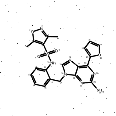 Cc1noc(C)c1S(=O)(=O)Nc1ccccc1Cn1cnc2c(-c3ccco3)nc(N)nc21